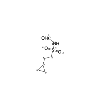 O=[C]NS(=O)(=O)CCC1CC1